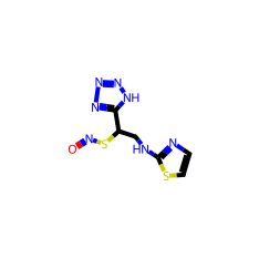 O=NSC(CNc1nccs1)c1nnn[nH]1